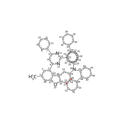 Cc1cc(-c2cc(-c3ccccc3)nc(-c3ccccc3)n2)c2c(c1)oc1ccc(N(c3ccc(-c4ccccc4)cc3)c3ccccc3-c3ccccc3)cc12